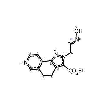 CCOC(=O)c1c2c(nn1C/C=N/O)-c1ccncc1CC2